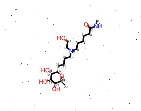 CNC(=O)CCCCCN(CCO)CCCC[C@@H]1O[C@@H](C)[C@@H](O)[C@@H](O)[C@@H]1O